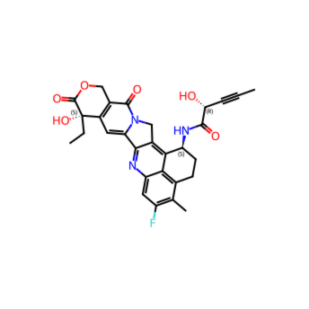 CC#C[C@@H](O)C(=O)N[C@H]1CCc2c(C)c(F)cc3nc4c(c1c23)Cn1c-4cc2c(c1=O)COC(=O)[C@]2(O)CC